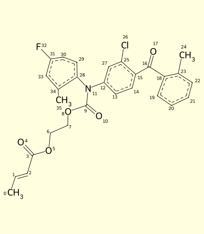 C/C=C/C(=O)OCCOC(=O)N(c1ccc(C(=O)c2ccccc2C)c(Cl)c1)c1ccc(F)cc1C